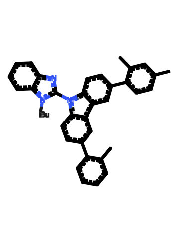 CCC(C)n1c(-n2c3ccc(-c4ccccc4C)cc3c3cc(-c4ccc(C)cc4C)ccc32)nc2ccccc21